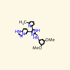 COc1cc(NCc2nc(C3=CN4N=CNC4C=C3)c(-c3cccc(C)n3)[nH]2)cc(OC)c1